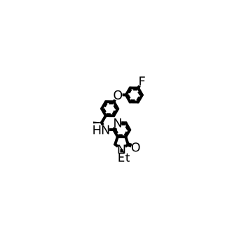 CCN1Cc2c(ccnc2N[C@@H](C)c2ccc(Oc3cccc(F)c3)cc2)C1=O